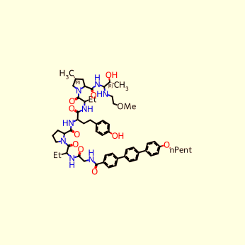 CCCCCOc1ccc(-c2ccc(-c3ccc(C(=O)NCC(=O)NC(CC)C(=O)N4CCCC4C(=O)NC(CCc4ccc(O)cc4)C(=O)NC(CC)C(=O)N4C[C@H](C)CC4C(=O)NC(NCCOC)[C@@H](C)O)cc3)cc2)cc1